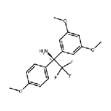 COc1ccc([C@](N)(c2cc(OC)cc(OC)c2)C(F)(F)F)cc1